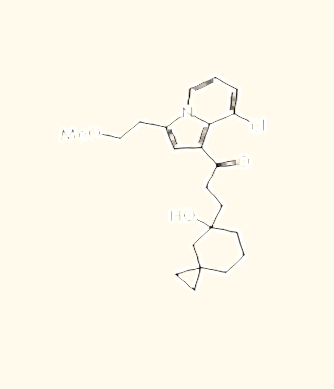 COCCc1cc(C(=O)CCC2(O)CCCC3(CC3)C2)c2c(Cl)cccn12